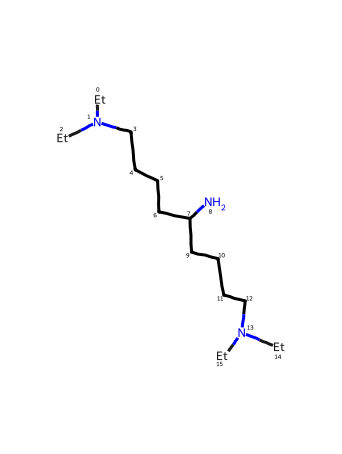 CCN(CC)CCCCC(N)CCCCN(CC)CC